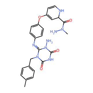 Cc1ccc(Cn2c(=O)[nH]c(=O)n(N)/c2=N\c2ccc(OC3=CC(C(=O)N(C)N)NC=C3)cc2)cc1